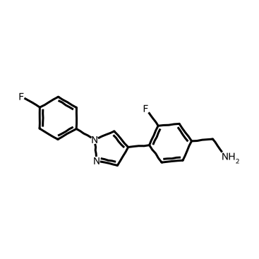 NCc1ccc(-c2cnn(-c3ccc(F)cc3)c2)c(F)c1